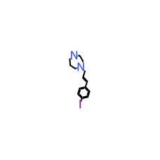 Ic1ccc(C=CCN2CCC[N]CC2)cc1